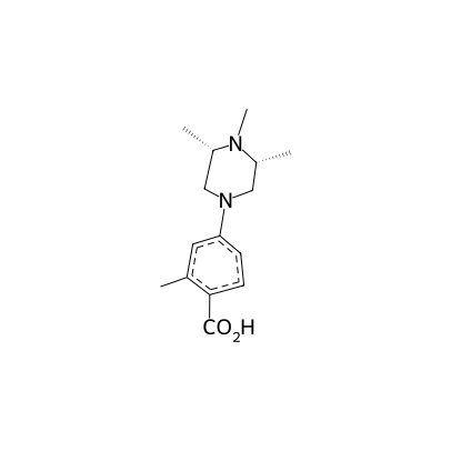 Cc1cc(N2C[C@@H](C)N(C)[C@@H](C)C2)ccc1C(=O)O